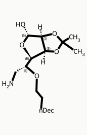 CCCCCCCCCCCCO[C@H](CN)[C@H]1O[C@H](O)[C@H]2OC(C)(C)O[C@H]21